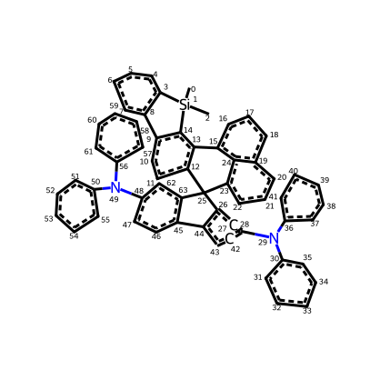 C[Si]1(C)c2ccccc2-c2ccc3c(c21)-c1cccc2cccc(c12)C31c2cc(N(c3ccccc3)c3ccccc3)ccc2-c2ccc(N(c3ccccc3)c3ccccc3)cc21